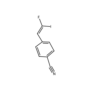 N#Cc1ccc(C=C(F)I)cc1